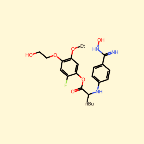 CCCCC(Nc1ccc(C(=N)NO)cc1)C(=O)Oc1cc(OCC)c(OCCO)cc1F